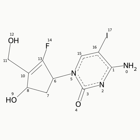 Nc1nc(=O)n(C2CC(O)C(CO)=C2F)cc1I